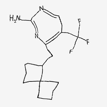 Nc1ncc(C(F)(F)F)c(CC2CCC23CCC3)n1